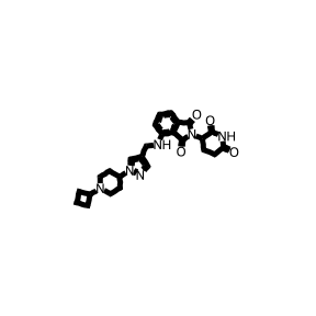 O=C1CCC(N2C(=O)c3cccc(NCc4cnn(C5CCN(C6CCC6)CC5)c4)c3C2=O)C(=O)N1